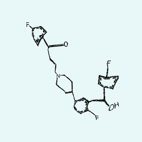 O=C(CCCN1CCC(c2ccc(F)c(C(O)c3ccc(F)cc3)c2)CC1)c1ccc(F)cc1